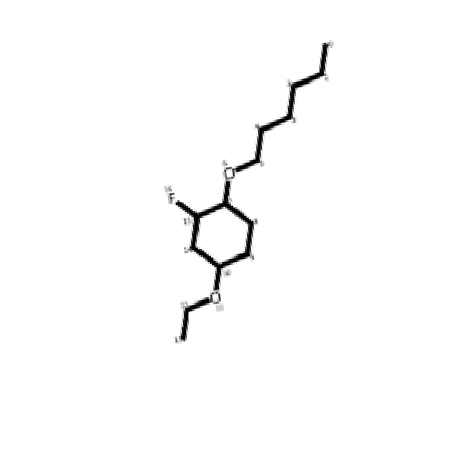 CCCCCCOC1CCC(OCC)CC1F